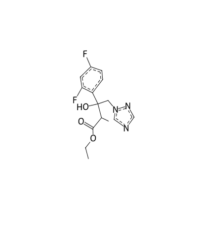 CCOC(=O)C(C)C(O)(Cn1cncn1)c1ccc(F)cc1F